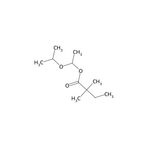 CCC(C)(C)C(=O)OC(C)OC(C)C